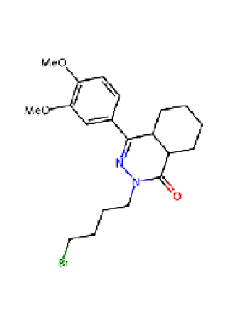 COc1ccc(C2=NN(CCCCBr)C(=O)C3CCCCC23)cc1OC